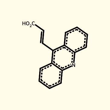 O=C(O)C=Cc1c2ccccc2nc2ccccc12